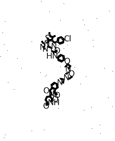 Cc1sc2c(c1C)C(c1ccc(Cl)cc1)=N[C@@H](CC(=O)Nc1ccc(OC3CN(C4CN(C5CN(c6ccc7c(c6)C(=O)N(C6CCC(=O)NC6=O)C7=O)C5)CCO4)C3)cc1)c1nnc(C)n1-2